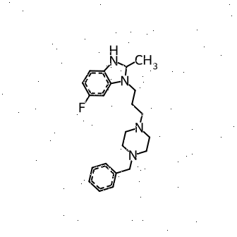 CC1Nc2ccc(F)cc2N1CCCN1CCN(Cc2ccccc2)CC1